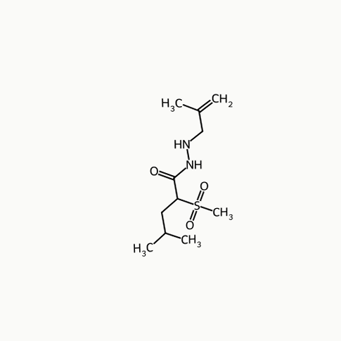 C=C(C)CNNC(=O)C(CC(C)C)S(C)(=O)=O